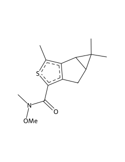 CON(C)C(=O)c1sc(C)c2c1CC1C2C1(C)C